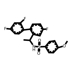 COc1ccc(S(=O)(=O)NC(C)c2cc(F)ccc2-c2ccc(F)cc2F)cc1